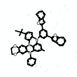 Cc1cc2c3c(c1)N(c1ccccc1)c1cc4c(cc1B3c1cc(C(C)(C)C)ccc1N2c1cc(-c2cc3ccccc3o2)cc(-c2cc3ccccc3o2)c1)OCCO4